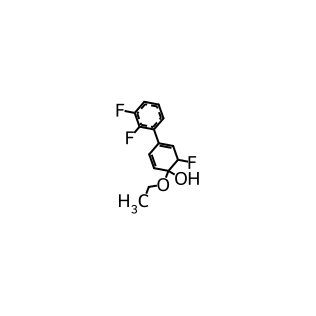 CCOC1(O)C=CC(c2cccc(F)c2F)=CC1F